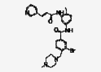 Cc1ccc(NC(=O)c2ccc(CN3CCN(C)CC3)c(Br)c2)cc1NC(=O)C=Cc1cccnc1